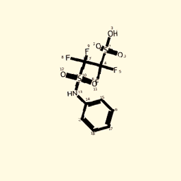 O=S(=O)(O)C(F)(F)C(F)(F)S(=O)(=O)Nc1ccccc1